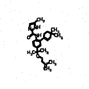 Cc1cnc(C(=O)Nc2ccc(C(C)(C)OCCN(C)C)cc2C2=CCC(C)(C)CC2)[nH]1